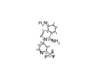 Nc1cccc2c1C=CN(c1ccnc(C(F)(F)F)c1)C2N